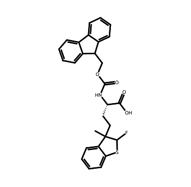 CC1(CC[C@H](NC(=O)OCC2c3ccccc3-c3ccccc32)C(=O)O)c2ccccc2SC1F